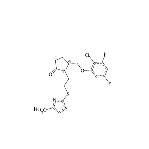 O=C(O)c1csc(SCCN2C(=O)CC[C@@H]2COc2cc(F)cc(F)c2Cl)n1